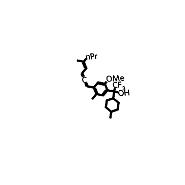 CCC/C(C)=C/C=C=Cc1cc(OC)c(C(O)(C2CCC(C)CC2)C(F)(F)F)cc1C